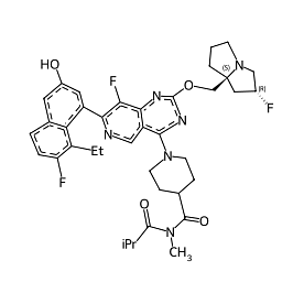 CCc1c(F)ccc2cc(O)cc(-c3ncc4c(N5CCC(C(=O)N(C)C(=O)C(C)C)CC5)nc(OC[C@@]56CCCN5C[C@H](F)C6)nc4c3F)c12